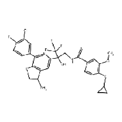 COc1cc(C(=O)NCC(O)(c2cc3c(c(-c4ccc(F)c(Cl)c4)n2)OCC3N)C(F)(F)F)ccc1OC1CC1